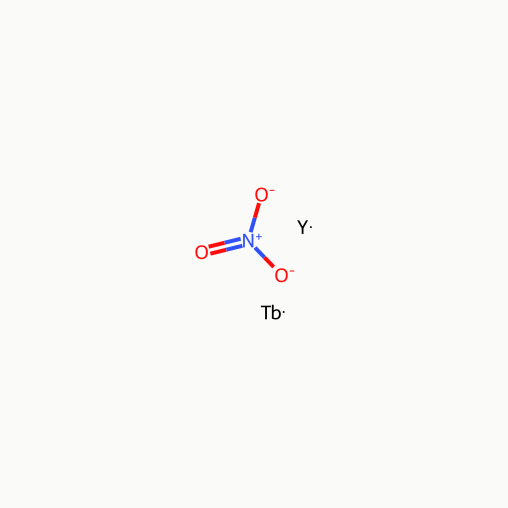 O=[N+]([O-])[O-].[Tb].[Y]